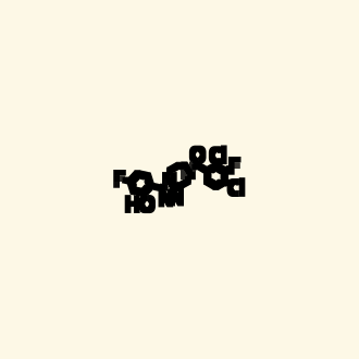 O=C(c1ccc(Cl)c(F)c1Cl)N1CCn2c(nnc2-c2ccc(F)cc2O)C1